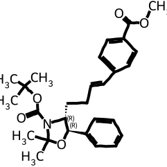 COC(=O)c1ccc(C=CCC[C@@H]2[C@@H](c3ccccc3)OC(C)(C)N2C(=O)OC(C)(C)C)cc1